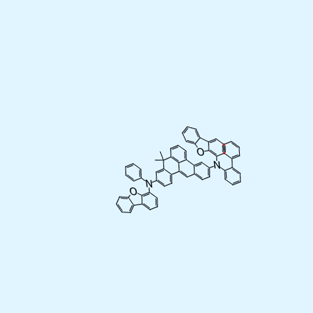 CC1(C)c2cc(N(c3ccccc3)c3cccc4c3oc3ccccc34)ccc2-c2cc3ccc(N(c4ccccc4-c4ccccc4)c4cccc5c4oc4ccccc45)cc3c3cccc1c23